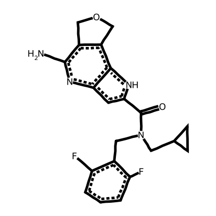 Nc1nc2cc(C(=O)N(Cc3c(F)cccc3F)CC3CC3)[nH]c2c2c1COC2